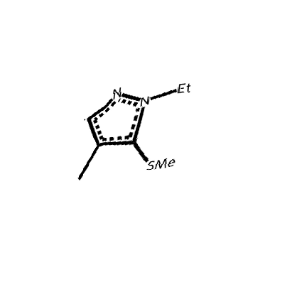 CCn1n[c]c(C)c1SC